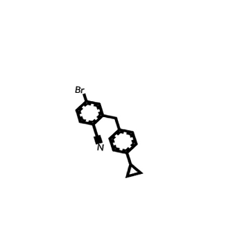 N#Cc1ccc(Br)cc1Cc1ccc(C2CC2)cc1